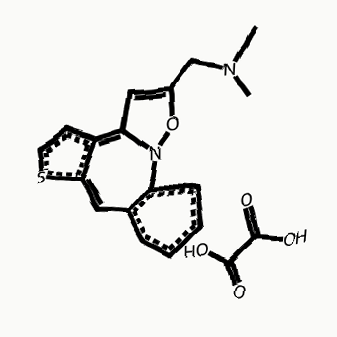 CN(C)CC1=CC2=c3ccsc3=Cc3ccccc3N2O1.O=C(O)C(=O)O